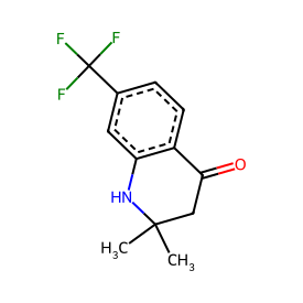 CC1(C)CC(=O)c2ccc(C(F)(F)F)cc2N1